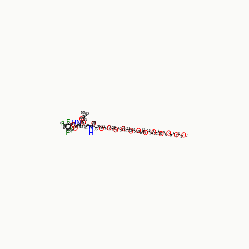 COCCOCCOCCOCCOCCOCCOCCOCCOCCOCCOCCOCCC(=O)NCCCC[C@H](NC(=O)OC(C)(C)C)C(=O)Oc1c(F)c(F)cc(F)c1F